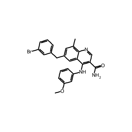 COc1cccc(Nc2c(C(N)=O)cnc3c(C)cc(Cc4cccc(Br)c4)cc23)c1